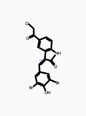 O=C1Nc2ccc(C(=O)CCl)cc2/C1=C/c1cc(Br)c(O)c(Br)c1